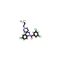 C=CCN1CCC2(CC1)CN(C(=O)c1cc(Cl)cc(Cl)c1)c1ccc(F)cc12